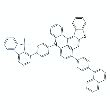 CC1(C)c2ccccc2-c2cccc(-c3ccc(N(c4ccc(-c5ccc(-c6cccc7ccccc67)cc5)cc4)c4ccccc4-c4cccc5sc6ccccc6c45)cc3)c21